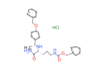 C[C@@H](N[C@H](CCCNC(=O)OCc1ccccc1)C(N)=O)c1ccc(OCc2ccccc2)cc1.Cl